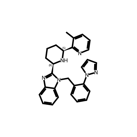 Cc1cccnc1[C@@H]1CCC[C@H](c2nc3ccccc3n2Cc2ccccc2-n2cccn2)N1